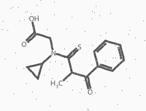 CC(C(=O)c1ccccc1)C(=S)N(CC(=O)O)C1CC1